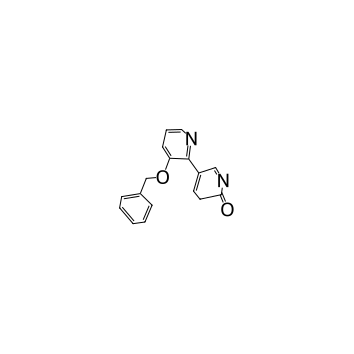 O=C1CC=C(c2ncccc2OCc2ccccc2)C=N1